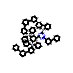 c1ccc(-c2cccc(-c3cccc([Si](c4ccccc4)(c4ccccc4)c4cc(-c5nc(-c6cccc(-c7ccccc7)c6)nc(-n6c7ccccc7c7ccccc76)n5)cc([Si](c5ccccc5)(c5ccccc5)c5cccc(-c6cccc(-c7ccccc7)c6)c5)c4)c3)c2)cc1